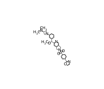 COC(c1cccc(N2CC(N(C)C)C2)c1)c1cc2c(cn1)CN(S(=O)(=O)c1ccc(-c3ncco3)cc1)C2